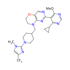 COc1ncnc(C2CC2)c1-c1ncc2c(n1)N(CC1CCN(c3nc(C(F)(F)F)cn3C)CC1)CCO2